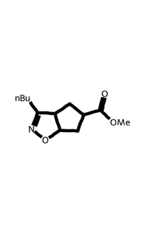 CCCCC1=NOC2CC(C(=O)OC)CC12